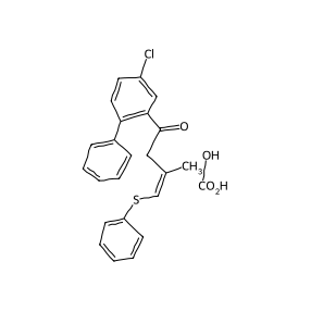 CC(=CSc1ccccc1)CC(=O)c1cc(Cl)ccc1-c1ccccc1.O=C(O)O